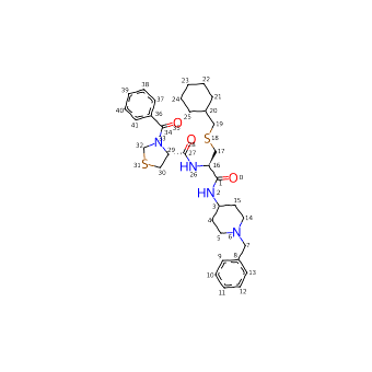 O=C(NC1CCN(Cc2ccccc2)CC1)[C@H](CSCC1CCCCC1)NC(=O)[C@@H]1CSCN1C(=O)c1ccccc1